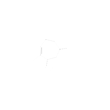 CCOC(=O)C1CCC=C(C)C(C(=O)OCC)C1